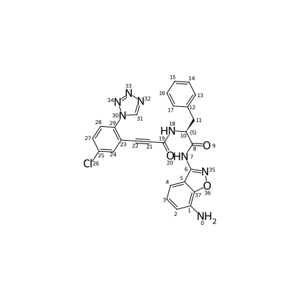 Nc1cccc2c(NC(=O)[C@H](Cc3ccccc3)NC(=O)C#Cc3cc(Cl)ccc3-n3cnnn3)noc12